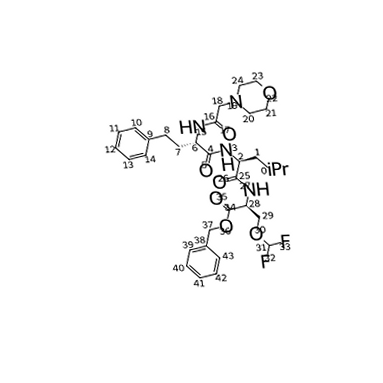 CC(C)C[C@H](NC(=O)[C@H](CCc1ccccc1)NC(=O)CN1CCOCC1)C(=O)N[C@@H](COC(F)F)C(=O)OCc1ccccc1